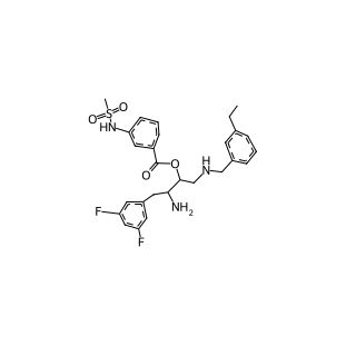 CCc1cccc(CNCC(OC(=O)c2cccc(NS(C)(=O)=O)c2)C(N)Cc2cc(F)cc(F)c2)c1